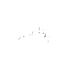 O=C(NC[C@H]1CN(c2ccc(N3CCC4(CC3)CS(=O)(=O)C4)c(F)c2)C(=O)O1)C1CC1